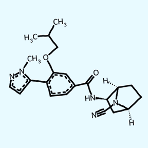 CC(C)COc1cc(C(=O)N[C@@H]2C[C@@H]3CC[C@H]2N3C#N)ccc1-c1ccnn1C